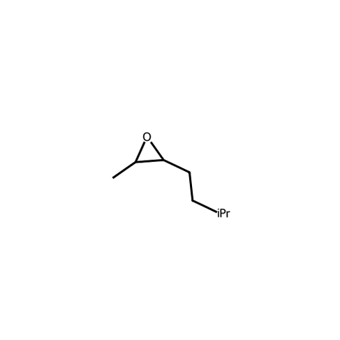 CC(C)CCC1OC1C